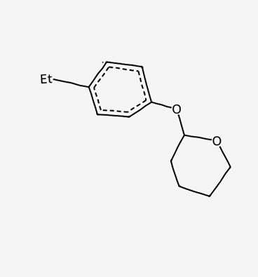 CCc1[c]cc(OC2CCCCO2)cc1